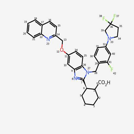 O=C(O)C1CCCC[C@H]1c1nc2cc(OCc3ccc4ccccc4n3)ccc2n1Cc1ccc(N2CCC(F)(F)C2)cc1F